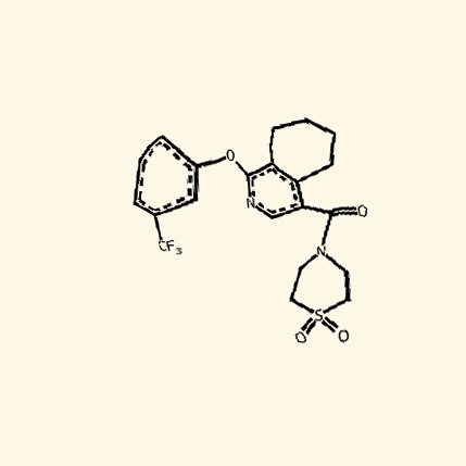 O=C(c1cnc(Oc2cccc(C(F)(F)F)c2)c2c1CCCC2)N1CCS(=O)(=O)CC1